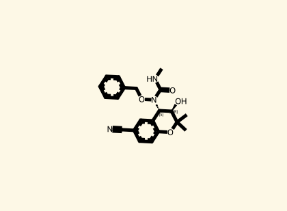 CNC(=O)N(OCc1ccccc1)[C@H]1c2cc(C#N)ccc2OC(C)(C)[C@@H]1O